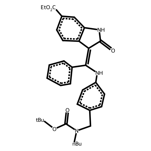 CCCCN(Cc1ccc(N/C(=C2\C(=O)Nc3cc(C(=O)OCC)ccc32)c2ccccc2)cc1)C(=O)OC(C)(C)C